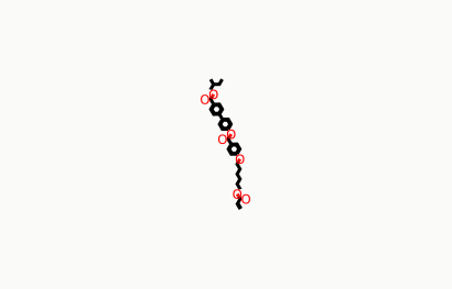 C=CC(=O)OCCCCCCOc1ccc(C(=O)Oc2ccc(-c3ccc(C(=O)OCC(C)CC)cc3)cc2)cc1